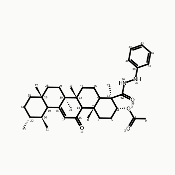 CC(=O)O[C@@H]1CC[C@@]2(C)C(CC[C@]3(C)C2C(=O)C=C2C4[C@@H](C)[C@H](C)CC[C@]4(C)CC[C@]23C)[C@@]1(C)C(=O)NNc1ccccc1